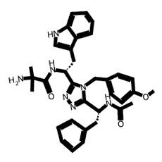 COc1ccc(Cn2c([C@@H](Cc3ccccc3)NC(C)=O)nnc2[C@@H](Cc2c[nH]c3ccccc23)NC(=O)C(C)(C)N)cc1